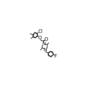 Cc1cc(Cl)c(OCC(=O)N2CC(C)N(Cc3ccc(F)cc3)CC2C)cc1C